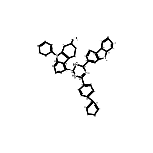 CC1CCc2c(n(C3=CC=CCC3)c3cccc([C@@H]4NC(c5ccc(C6=CCCC=C6)cc5)=NC(c5ccc6c(c5)OC5C=CC=CC65)N4)c23)C1